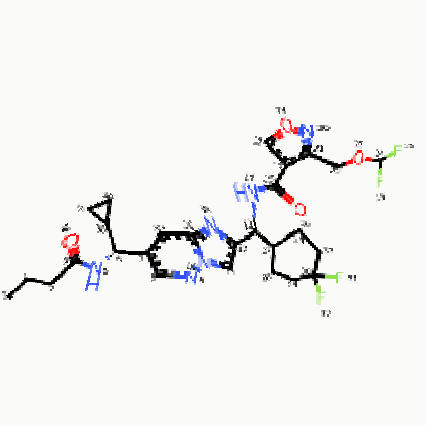 CCCC(=O)N[C@@H](c1cnn2cc([C@@H](NC(=O)c3conc3COC(F)F)C3CCC(F)(F)CC3)nc2c1)C1CC1